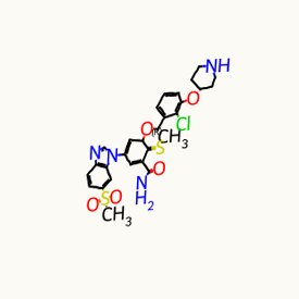 C[C@@H](OC1C=C(n2cnc3ccc(S(C)(=O)=O)cc32)C=C(C(N)=O)C1=S)c1cccc(OC2CCNCC2)c1Cl